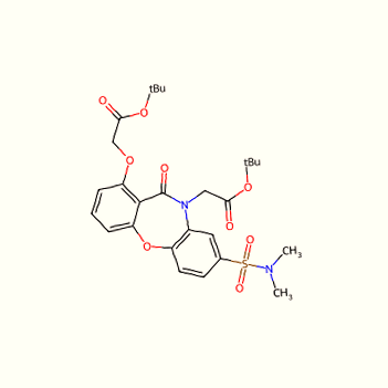 CN(C)S(=O)(=O)c1ccc2c(c1)N(CC(=O)OC(C)(C)C)C(=O)c1c(OCC(=O)OC(C)(C)C)cccc1O2